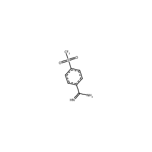 N=C(N)c1ccc(S(=O)(=O)C(F)(F)F)cc1